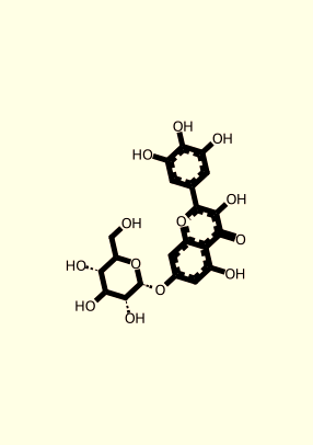 O=c1c(O)c(-c2cc(O)c(O)c(O)c2)oc2cc(O[C@H]3OC(CO)[C@@H](O)C(O)[C@H]3O)cc(O)c12